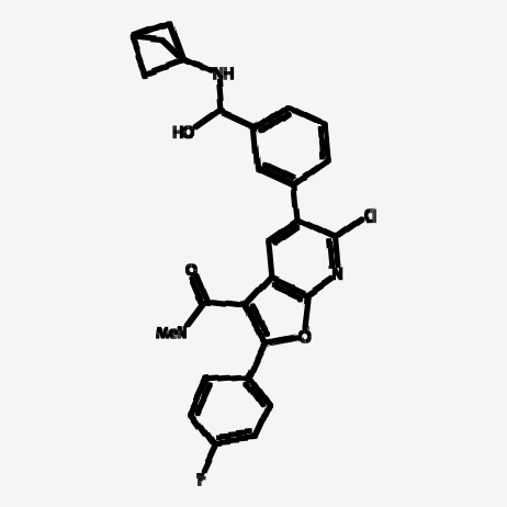 CNC(=O)c1c(-c2ccc(F)cc2)oc2nc(Cl)c(-c3cccc(C(O)NC45CC(C4)C5)c3)cc12